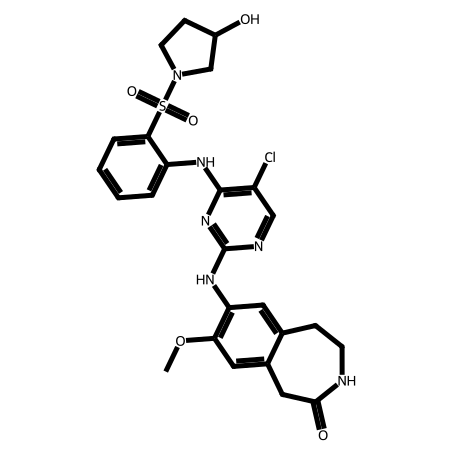 COc1cc2c(cc1Nc1ncc(Cl)c(Nc3ccccc3S(=O)(=O)N3CCC(O)C3)n1)CCNC(=O)C2